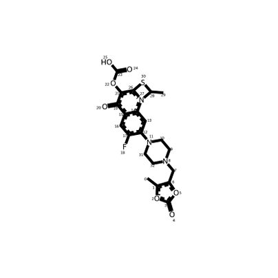 Cc1oc(=O)oc1CN1CCN(c2cc3c(cc2F)c(=O)c(OC(=O)O)c2n3C(C)S2)CC1